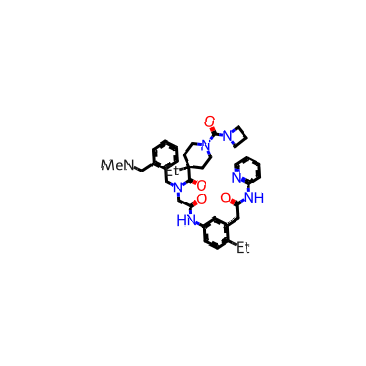 CCc1ccc(NC(=O)CN(Cc2ccccc2CNC)C(=O)C2(CC)CCN(C(=O)N3CCC3)CC2)cc1CC(=O)Nc1ccccn1